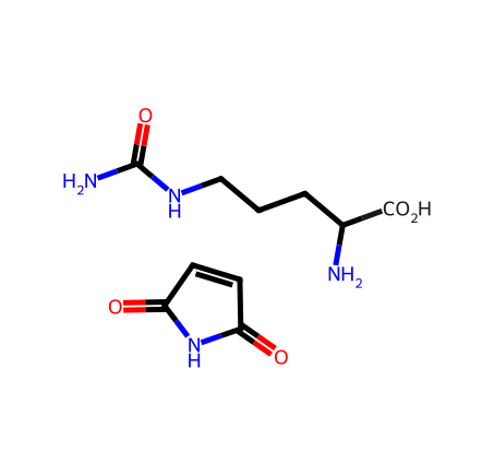 NC(=O)NCCCC(N)C(=O)O.O=C1C=CC(=O)N1